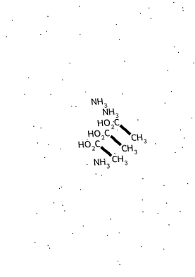 CC(=O)O.CC(=O)O.CC(=O)O.N.N.N